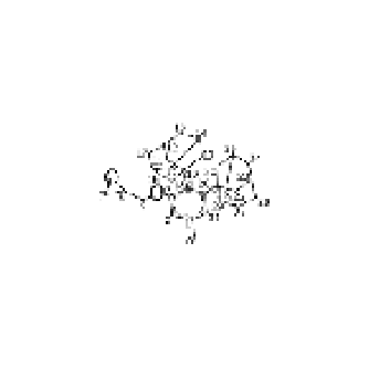 Cc1cc(OCC2CO2)c(C23CC4CC(CC(C4)C2)C3)c(C23CC4CC(CC(C4)C2)C3)c1